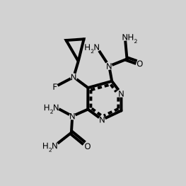 NC(=O)N(N)c1ncnc(N(N)C(N)=O)c1N(F)C1CC1